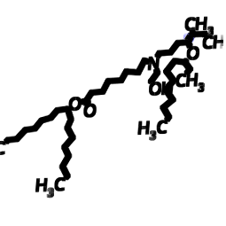 CCCCCCCCC(CCCCCCCC)OC(=O)CCCCCCCN(CCO)CCC/C(OC(CC)CCCCCCCC)=C(\C)CC